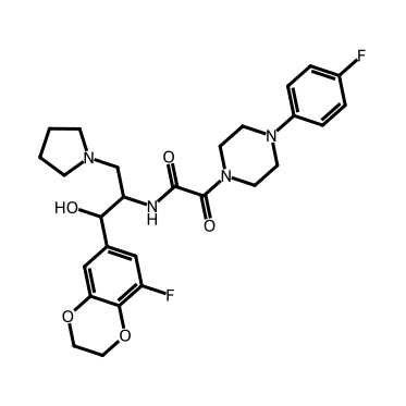 O=C(NC(CN1CCCC1)C(O)c1cc(F)c2c(c1)OCCO2)C(=O)N1CCN(c2ccc(F)cc2)CC1